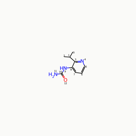 CC(C)c1ncccc1NC(N)=O